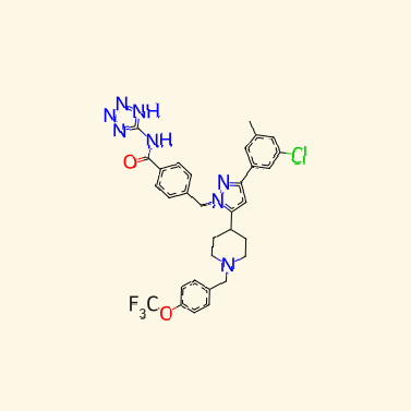 Cc1cc(Cl)cc(-c2cc(C3CCN(Cc4ccc(OC(F)(F)F)cc4)CC3)n(Cc3ccc(C(=O)Nc4nnn[nH]4)cc3)n2)c1